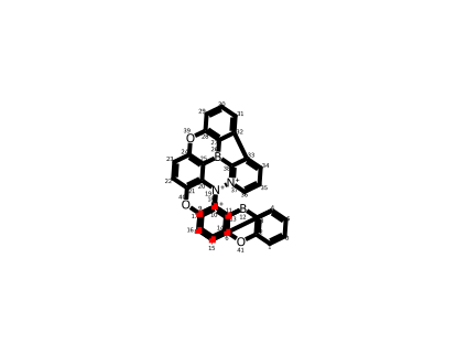 c1cc2c3c(c1)-c1ccc[n+]4c1B3c1c(ccc3c1[N+]41c4c(ccc5c4B4c6c(cccc6-c6ccc[n+]1c64)O5)O3)O2